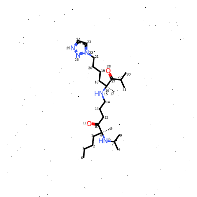 CCCC[C@](C)(NC(C)C)C(=O)CCCN[C@@](C)(CCCCn1ccnn1)C(=O)C(C)C